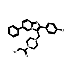 O=C(CO)N1CCN(Cc2c(-c3ccc(Cl)cc3)nc3ccc(-c4ccccc4)cn23)CC1